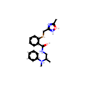 Cc1nc(CSc2ccccc2C(=O)NCC(C)N(C)c2ccccc2)no1